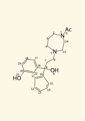 CC(=O)N1CCCN(CCC(O)(c2ccccc2)c2cccc(O)c2)CC1